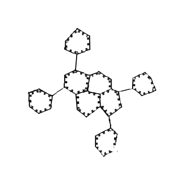 c1ccc(-c2cc(-c3ccccc3)c3ccc4c(-c5cccnc5)cc(-c5ccccc5)c5ccc2c3c54)cc1